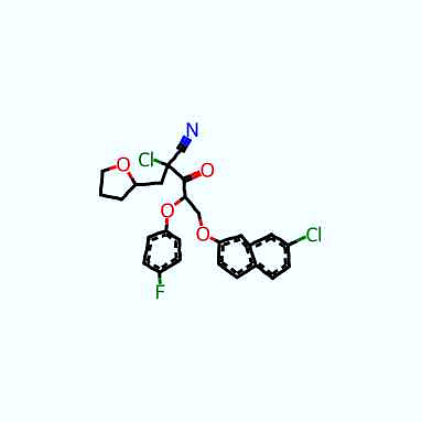 N#CC(Cl)(CC1CCCO1)C(=O)C(COc1ccc2ccc(Cl)cc2c1)Oc1ccc(F)cc1